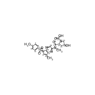 Cc1ccc(S(=O)(=O)n2cc(C)c3nc(N(C)C(=O)C4CC(O)CN4C(=O)O)cnc32)cc1